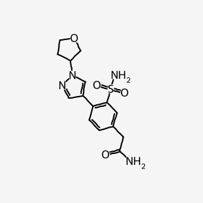 NC(=O)Cc1ccc(-c2cnn(C3CCOC3)c2)c(S(N)(=O)=O)c1